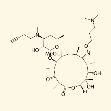 C#CCCN(C)[C@H]1C[C@@H](C)O[C@@H](O[C@@H]2[C@@H](C)C(=O)[C@@H](C)C(=O)O[C@H](CC)[C@@](C)(O)[C@H](O)[C@@H](C)/C(=N/OCCCN(C)C)[C@H](C)C[C@@]2(C)OC)[C@@H]1O